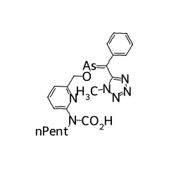 CCCCCN(C(=O)O)c1cccc(CO/[As]=C(/c2ccccc2)c2nnnn2C)n1